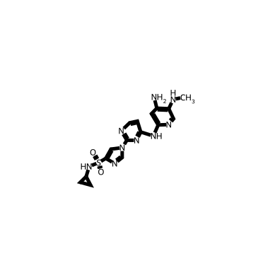 CNc1cnc(Nc2ccnc(-n3cnc(S(=O)(=O)NC4CC4)c3)n2)cc1N